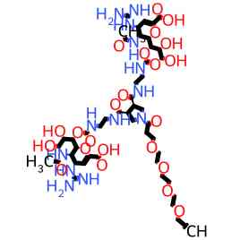 C#CCOCCOCCOCCOCCC(=O)N1C[C@H](C(=O)NCCNC(=O)O[C@@H]([C@@H]2OC(C(=O)O)=C[C@H](NC(=N)N)[C@H]2NC(C)=O)[C@H](O)CO)[C@H](C(=O)NCCNC(=O)O[C@@H]([C@@H]2OC(C(=O)O)=C[C@H](NC(=N)N)[C@H]2NC(C)=O)[C@H](O)CO)C1